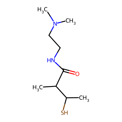 CC(S)C(C)C(=O)NCCN(C)C